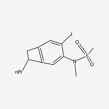 CCCC1Cc2cc(I)c(N(C)S(C)(=O)=O)cc21